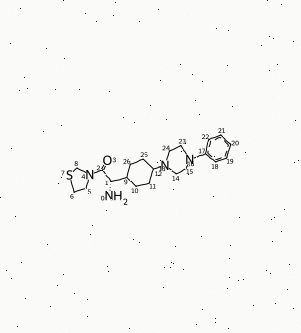 N[C@H](C(=O)N1CCSC1)C1CCC(N2CCN(c3ccccc3)CC2)CC1